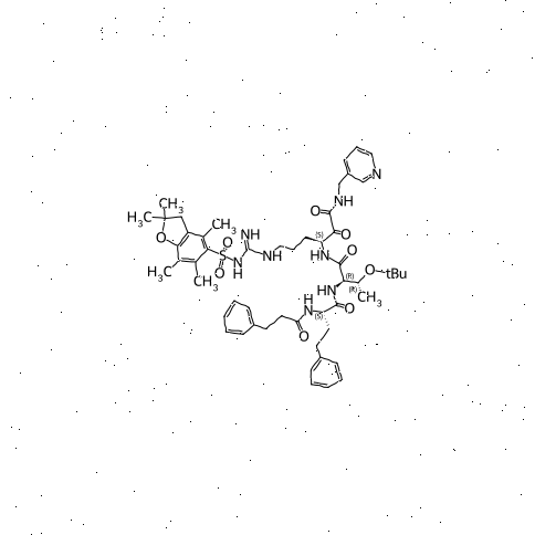 Cc1c(C)c(S(=O)(=O)NC(=N)NCCC[C@H](NC(=O)[C@H](NC(=O)[C@H](CCc2ccccc2)NC(=O)CCc2ccccc2)[C@@H](C)OC(C)(C)C)C(=O)C(=O)NCc2cccnc2)c(C)c2c1OC(C)(C)C2